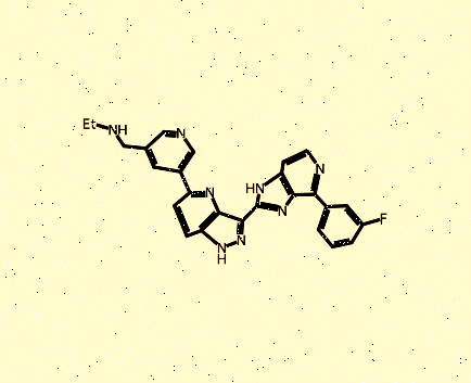 CCNCc1cncc(-c2ccc3[nH]nc(-c4nc5c(-c6cccc(F)c6)nccc5[nH]4)c3n2)c1